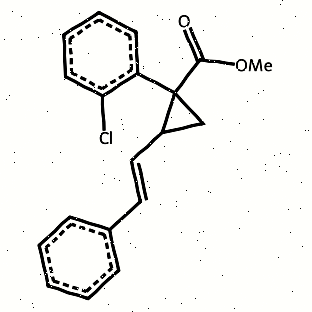 COC(=O)C1(c2ccccc2Cl)CC1C=Cc1ccccc1